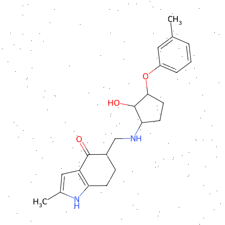 Cc1cccc(OC2CCC(NCC3CCc4[nH]c(C)cc4C3=O)C2O)c1